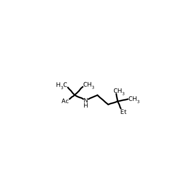 CCC(C)(C)CCNC(C)(C)C(C)=O